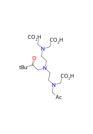 CC(=O)CN(CCN(CCN(CC(=O)O)CC(=O)O)CC(=O)C(C)(C)C)CC(=O)O